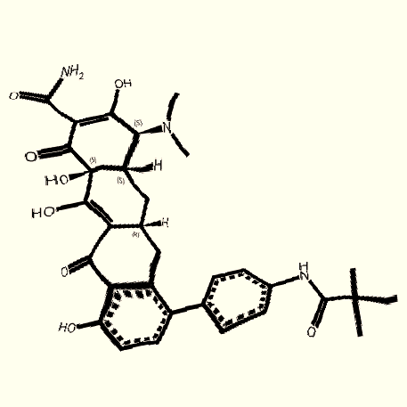 CN(C)[C@@H]1C(O)=C(C(N)=O)C(=O)[C@@]2(O)C(O)=C3C(=O)c4c(O)ccc(-c5ccc(NC(=O)C(C)(C)C)cc5)c4C[C@H]3C[C@@H]12